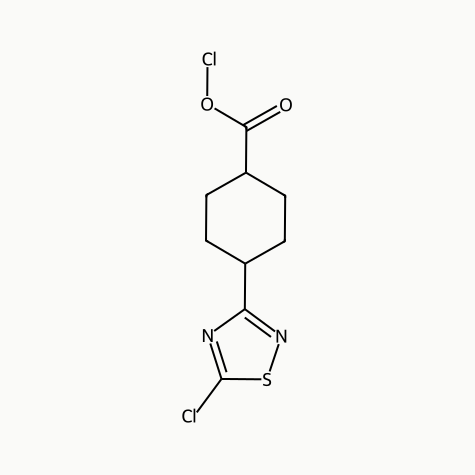 O=C(OCl)C1CCC(c2nsc(Cl)n2)CC1